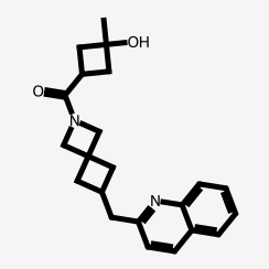 CC1(O)CC(C(=O)N2CC3(CC(Cc4ccc5ccccc5n4)C3)C2)C1